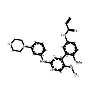 C=CC(=O)Nc1ccc(OC)c(-c2nc(Nc3cccc(N4CCOCC4)c3)ncc2OC(F)(F)F)c1